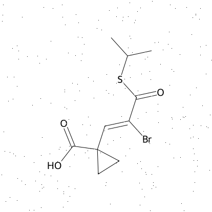 CC(C)SC(=O)C(Br)=CC1(C(=O)O)CC1